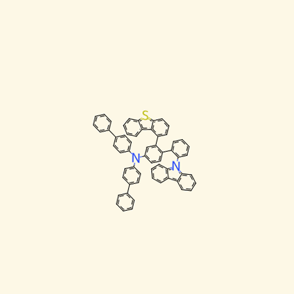 c1ccc(-c2ccc(N(c3ccc(-c4ccccc4)cc3)c3ccc(-c4ccccc4-n4c5ccccc5c5ccccc54)c(-c4cccc5sc6ccccc6c45)c3)cc2)cc1